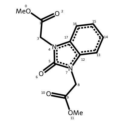 COC(=O)Cn1c(=O)n(CC(=O)OC)c2ccccc21